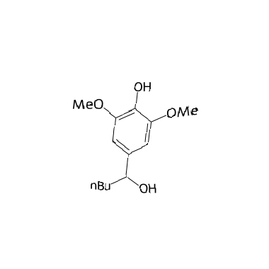 CCCCC(O)c1cc(OC)c(O)c(OC)c1